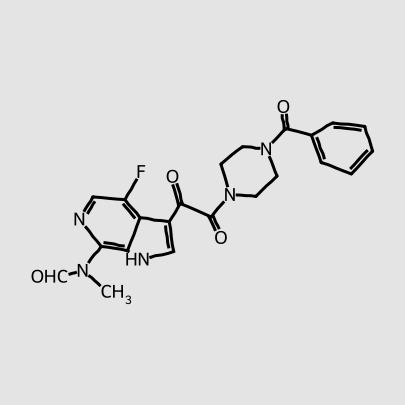 CN(C=O)c1ncc(F)c2c(C(=O)C(=O)N3CCN(C(=O)c4ccccc4)CC3)c[nH]c12